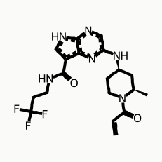 C=CC(=O)N1CC[C@@H](Nc2cnc3[nH]cc(C(=O)NCCC(F)(F)F)c3n2)C[C@H]1C